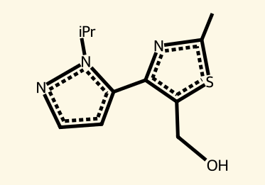 Cc1nc(-c2ccnn2C(C)C)c(CO)s1